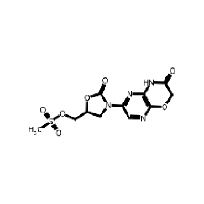 CS(=O)(=O)OCC1CN(c2cnc3c(n2)NC(=O)CO3)C(=O)O1